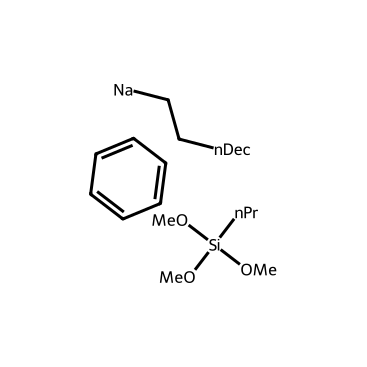 CCCCCCCCCCC[CH2][Na].CCC[Si](OC)(OC)OC.c1ccccc1